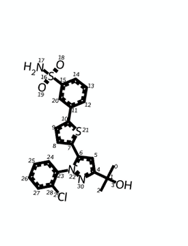 CC(C)(O)c1cc(-c2ccc(-c3cccc(S(N)(=O)=O)c3)s2)n(-c2ccccc2Cl)n1